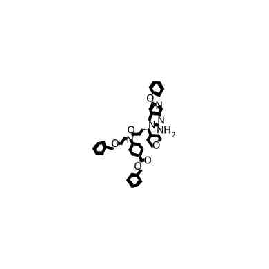 NC1=Nc2cnc(Oc3ccccc3)cc2CN1[C@@H](CCC(=O)N(CCOCc1ccccc1)C1CCC(C(=O)OCc2ccccc2)CC1)C1CCOCC1